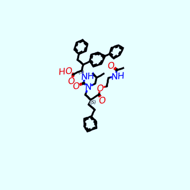 CC(=O)NCCOC(=O)[C@@H](CCc1ccccc1)CN(CC(C)C)C(=O)N[C@H](C(=O)O)C(Cc1ccccc1)c1ccc(-c2ccccc2)cc1